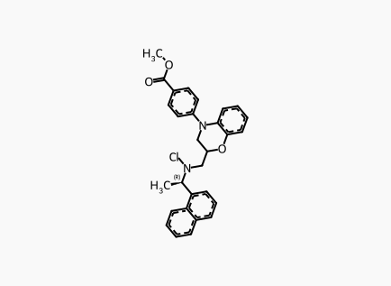 COC(=O)c1ccc(N2CC(CN(Cl)[C@H](C)c3cccc4ccccc34)Oc3ccccc32)cc1